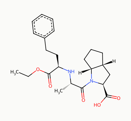 CCOC(=O)[C@@H](CCc1ccccc1)N[C@@H](C)C(=O)N1[C@@H]2CCC[C@@H]2C[C@H]1C(=O)O